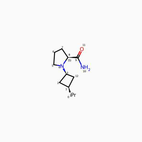 CC(C)[C@H]1C[C@@H](N2CCC[C@H]2C(N)=O)C1